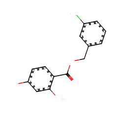 O=C(OCc1cccc(Cl)c1)c1ccc(O)cc1O